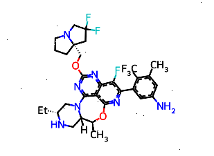 CC[C@@H]1CN2c3nc(OC[C@]45CCCN4CC(F)(F)C5)nc4c(F)c(-c5cc(N)cc(C)c5C(F)(F)F)nc(c34)O[C@@H](C)[C@@H]2CN1